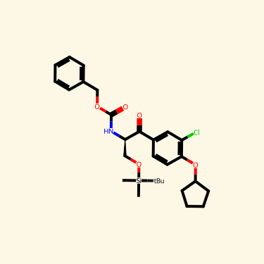 CC(C)(C)[Si](C)(C)OC[C@@H](NC(=O)OCc1ccccc1)C(=O)c1ccc(OC2CCCC2)c(Cl)c1